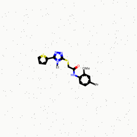 CCn1c(SCC(=O)Nc2ccc(C(C)C)cc2OC)nnc1-c1cccs1